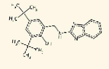 CC(C)(C)c1cc(CNc2nc3ccccc3s2)c(O)c(C(C)(C)C)c1